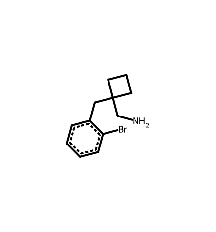 NCC1(Cc2ccccc2Br)CCC1